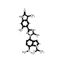 COc1ccc(N2N=C(c3cc4c(cc3O)NC(=O)C4C)NC2S)c2ccn(C(C)C)c12